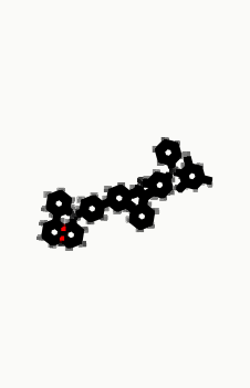 Cc1cc(C)c(N(c2ccccc2)c2ccc3c(c2)sc2c4ccc(-c5ccc(N(c6ccccc6)c6ccccc6-c6ccccc6)cc5)cc4c4ccccc4c32)c(C)c1